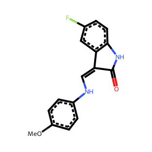 COc1ccc(NC=C2C(=O)Nc3ccc(F)cc32)cc1